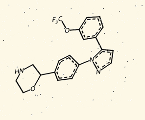 FC(F)(F)Oc1cccc(-c2ccnn2-c2ccc(C3CNCCO3)cc2)c1